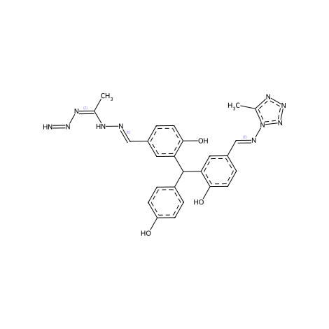 C/C(=N/N=N)N/N=C/c1ccc(O)c(C(c2ccc(O)cc2)c2cc(/C=N/n3nnnc3C)ccc2O)c1